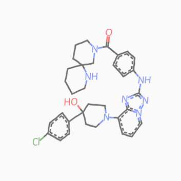 O=C(c1ccc(Nc2nc3c(N4CCC(O)(c5ccc(Cl)cc5)CC4)cccn3n2)cc1)N1CCCC2(CCCCN2)C1